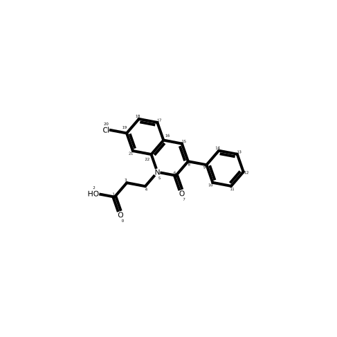 O=C(O)CCn1c(=O)c(-c2ccccc2)cc2ccc(Cl)cc21